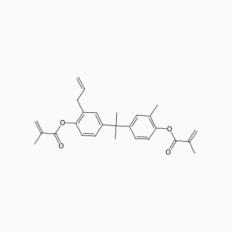 C=CCc1cc(C(C)(C)c2ccc(OC(=O)C(=C)C)c(C)c2)ccc1OC(=O)C(=C)C